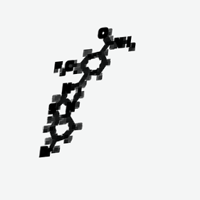 NC(=O)c1ccc(-c2cn3c(n2)sc2cc(Br)ccc23)c(C(F)(F)F)c1